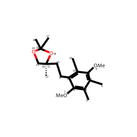 COc1c(C)c(C)c(OC)c(CC[C@@]2(C)COC(C)(C)O2)c1C